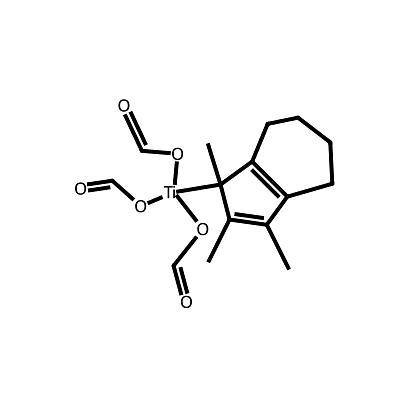 CC1=C(C)[C](C)([Ti]([O]C=O)([O]C=O)[O]C=O)C2=C1CCCC2